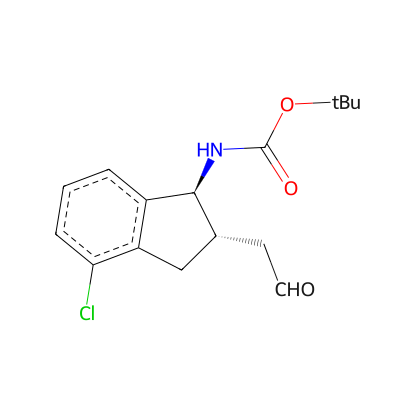 CC(C)(C)OC(=O)N[C@@H]1c2cccc(Cl)c2C[C@H]1CC=O